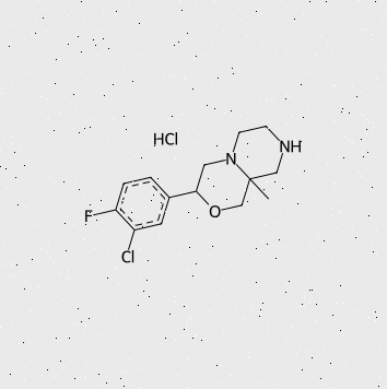 CC12CNCCN1CC(c1ccc(F)c(Cl)c1)OC2.Cl